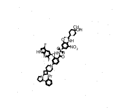 CC(C)c1ccccc1[C@H]1CCCN1C1CC2(CCN(c3ccc(C(=O)NS(=O)(=O)c4cc5c(c([N+](=O)[O-])c4)N[C@@H]([C@H]4CC[C@](C)(O)CC4)CO5)c(Oc4cc5c(F)c[nH]c5nc4F)c3)CC2)C1